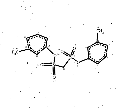 Cc1cccc(OS(=O)(=O)CS(=O)(=O)Oc2cccc(C(F)(F)F)c2)c1